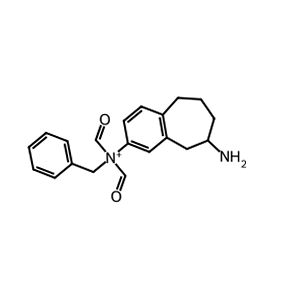 NC1CCCc2ccc([N+](C=O)(C=O)Cc3ccccc3)cc2C1